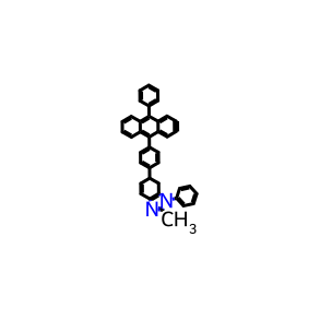 Cc1nc2c(n1-c1ccccc1)CC(c1ccc(-c3c4cc#ccc4c(-c4ccccc4)c4ccccc34)cc1)C=C2